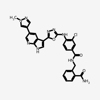 Cn1cc(-c2cnc3[nH]cc(-c4nnc(Nc5ccc(C(=O)NCc6ccccc6C(N)=O)cc5Cl)o4)c3c2)cn1